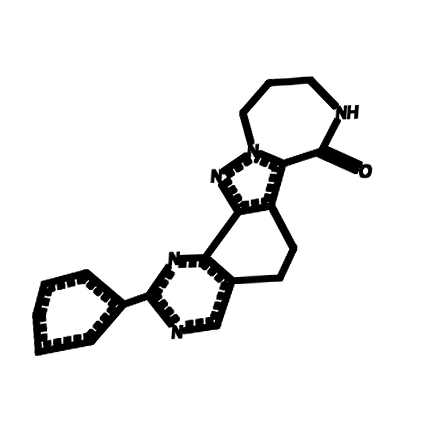 O=C1NCCCn2nc3c(c21)CCc1cnc(-c2ccccc2)nc1-3